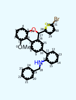 COc1cccc2c1-c1ccc(-c3ccccc3NCc3ccccc3)cc1C(c1ccc(Br)s1)O2